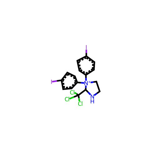 ClC(Cl)(Cl)C1NCC[N+]1(c1ccc(I)cc1)c1ccc(I)cc1